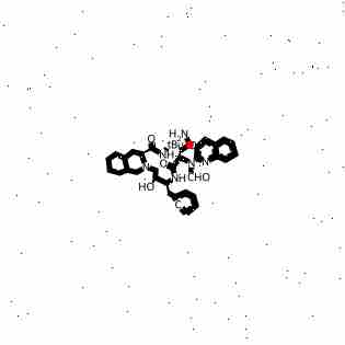 CC(C)(C)NC(=O)[C@@H]1CC2CCCCC2CN1C[C@H](O)[C@H](Cc1ccccc1)NC(=O)[C@H](CC(N)=O)N(C=O)c1ccc2ccccc2n1